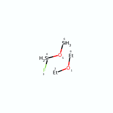 CCOCC.F[SiH2]O[SiH3]